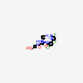 Nc1nc(-c2ccc(Cl)c(C(=O)Nc3cc(C(=O)N[C@H]4C[C@H](CO)C4)nn3-c3ccccc3)c2)c(F)cc1F